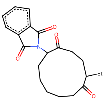 CCC1CCC(=O)C(N2C(=O)c3ccccc3C2=O)CCCCCC1=O